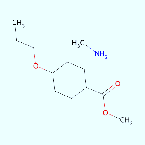 CCCOC1CCC(C(=O)OC)CC1.CN